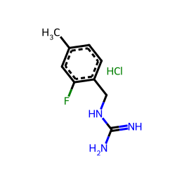 Cc1ccc(CNC(=N)N)c(F)c1.Cl